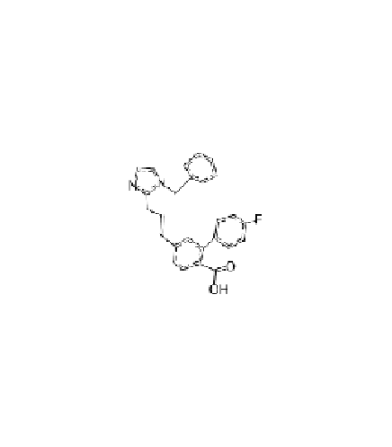 O=C(O)c1ccc(C=CCc2nccn2Cc2ccccc2)cc1-c1ccc(F)cc1